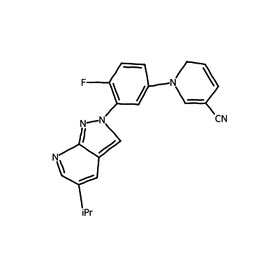 CC(C)c1cnc2nn(-c3cc(N4C=C(C#N)C=CC4)ccc3F)cc2c1